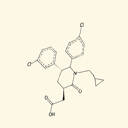 O=C(O)C[C@H]1C[C@H](c2cccc(Cl)c2)C(c2ccc(Cl)cc2)N(CC2CC2)C1=O